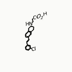 O=C(O)CCNC1CCc2cc(/C=C/c3cccc(Cl)c3)ccc2C1